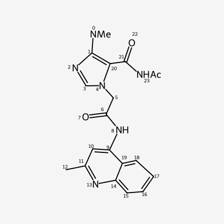 CNc1ncn(CC(=O)Nc2cc(C)nc3ccccc23)c1C(=O)NC(C)=O